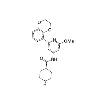 COc1cc(NC(=O)C2CCNCC2)cc(-c2cccc3c2OCCO3)n1